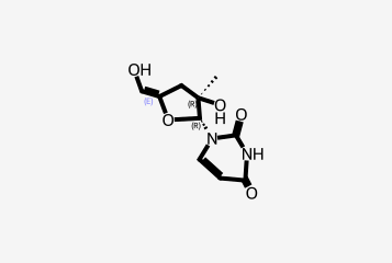 C[C@@]1(O)C/C(=C\O)O[C@H]1n1ccc(=O)[nH]c1=O